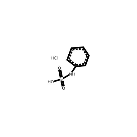 Cl.O=S(=O)(O)Nc1ccccc1